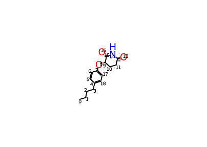 CCCCc1ccc(OC2CCC(=O)NC2=O)cc1